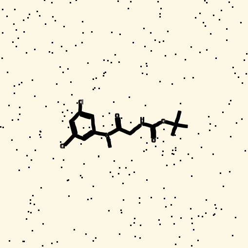 CN(C(=O)CNC(=O)OC(C)(C)C)c1cc(Cl)cc(Cl)c1